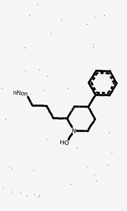 CCCCCCCCCCCCC1CC(c2ccccc2)CCN1O